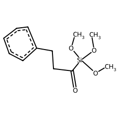 CO[Si](OC)(OC)C(=O)CCc1ccccc1